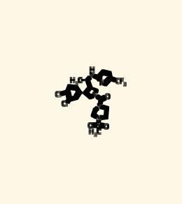 C[C@H](Nc1ccc(C(F)(F)F)cn1)[C@H]1CN(C(=O)N2CCN(S(C)(=O)=O)CC2)C[C@@H]1c1ccc(Cl)c(Cl)c1